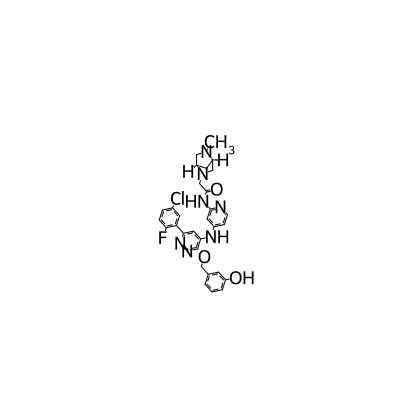 CN1C[C@@H]2C[C@H]1CN2CC(=O)Nc1cc(Nc2cc(-c3cc(Cl)ccc3F)nnc2OCc2cccc(O)c2)ccn1